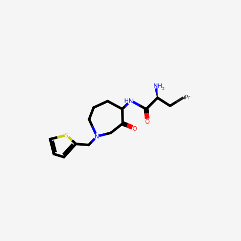 CC(C)C[C@H](N)C(=O)NC1CCCN(Cc2cccs2)CC1=O